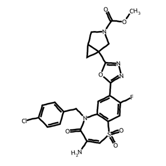 COC(=O)N1CC2CC2(c2nnc(-c3cc4c(cc3F)S(=O)(=O)C=C(N)C(=O)N4Cc3ccc(Cl)cc3)o2)C1